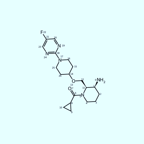 N[C@H]1CCCN(C(=O)C2CC2)[C@H]1COC1CCN(c2ncc(F)cn2)CC1